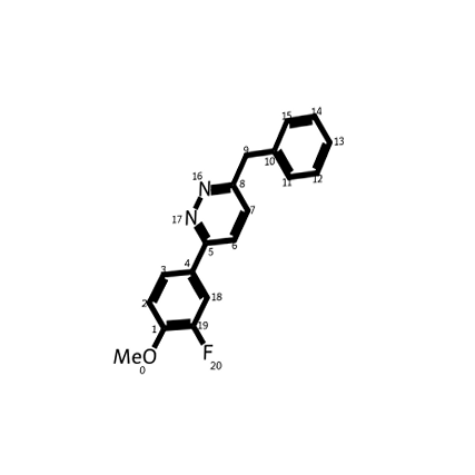 COc1ccc(-c2ccc(Cc3ccccc3)nn2)cc1F